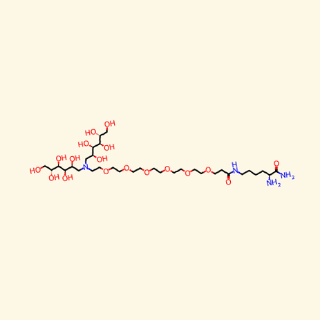 NC(=O)[C@@H](N)CCCCNC(=O)CCOCCOCCOCCOCCOCCOCCN(C[C@H](O)[C@@H](O)[C@H](O)[C@H](O)CO)C[C@H](O)[C@@H](O)[C@H](O)[C@H](O)CO